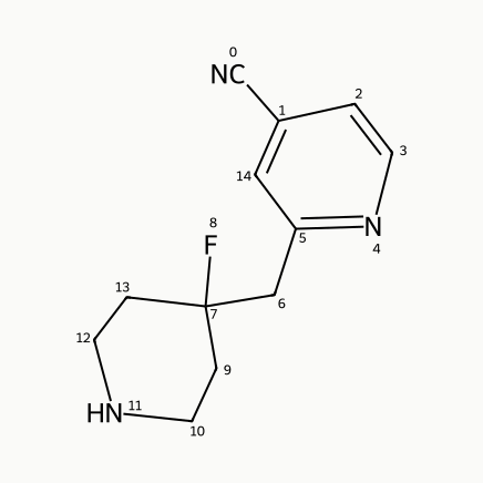 N#Cc1ccnc(CC2(F)CCNCC2)c1